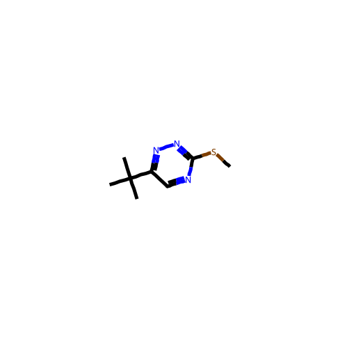 CSc1ncc(C(C)(C)C)nn1